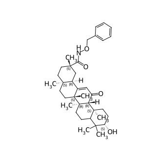 CC1(C)C2CC[C@]3(C)[C@H](C(=O)C=C4[C@@H]5C[C@@](C)(C(=O)NOCc6ccccc6)CC[C@]5(C)CC[C@]43C)[C@@]2(C)CC[C@@H]1O